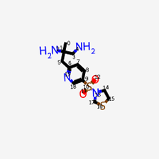 CC(N)(CN)Cc1ccc(S(=O)(=O)N2CCSC2)cn1